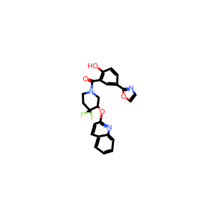 O=C(c1cc(-c2ncco2)ccc1O)N1CCC(F)(F)C(Oc2ccc3ccccc3n2)C1